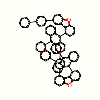 c1ccc(-c2ccc(-c3ccc4oc5cccc(-c6c7ccccc7c(-c7ccccc7)c7cc(-c8ccc(-c9cccc%10oc%11cccc(-c%12c%13ccccc%13c(-c%13ccccc%13)c%13ccccc%12%13)c%11c9%10)cc8-c8ccccc8)ccc67)c5c4c3)cc2)cc1